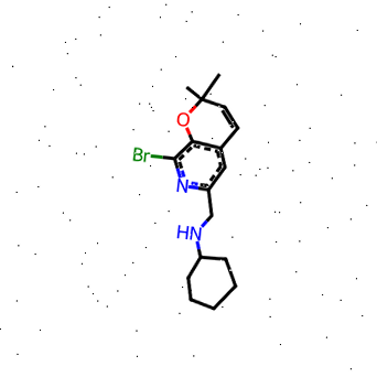 CC1(C)C=Cc2cc(CNC3CCCCC3)nc(Br)c2O1